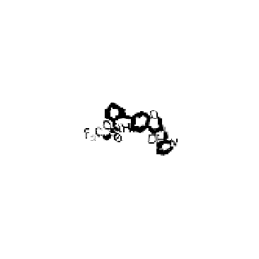 O=S(=O)(CC(F)(F)F)Nc1ccccc1-c1ccc2c(c1)OC[C@H](Cc1ccccn1)[C@H]2O